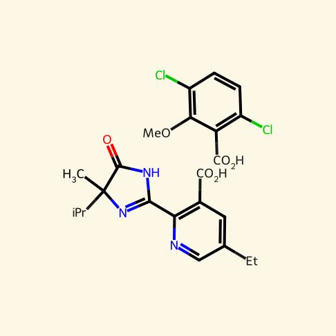 CCc1cnc(C2=NC(C)(C(C)C)C(=O)N2)c(C(=O)O)c1.COc1c(Cl)ccc(Cl)c1C(=O)O